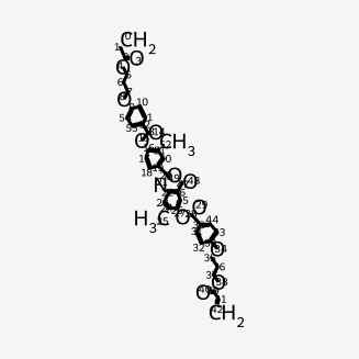 C=CC(=O)OCCCOc1ccc(C(=O)Oc2ccc(-c3nc4cc(C)c(OC(=O)c5ccc(OCCCOC(=O)C=C)cc5)cc4c(=O)o3)cc2C)cc1